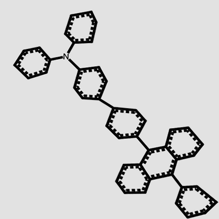 c1ccc(-c2c3ccccc3c(-c3ccc(-c4ccc(N(c5ccccc5)c5ccccc5)cc4)cc3)c3ccccc23)cc1